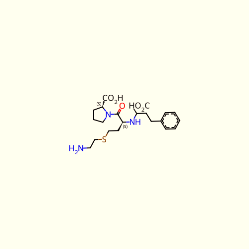 NCCSCC[C@H](NC(CCc1ccccc1)C(=O)O)C(=O)N1CCC[C@H]1C(=O)O